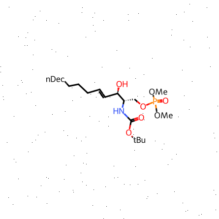 CCCCCCCCCCCCC/C=C/[C@@H](O)[C@H](COP(=O)(OC)OC)NC(=O)OC(C)(C)C